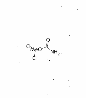 COC(N)=O.ClCCl